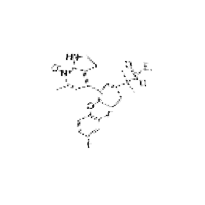 CCS(=O)(=O)C(C)(C)c1ccc(Oc2ccc(F)cc2F)c(-c2cc(C)[n+]([O-])c3[nH]ccc23)c1